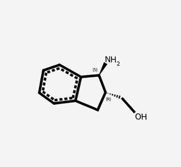 N[C@@H]1c2ccccc2C[C@H]1CO